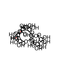 O=CC1OC(=O)c2cc(O)c(O)c(O)c2-c2cc(O)c(O)c(O)c2C(=O)OC1C1OC(=O)c2cc(O)c(O)c(O)c2-c2c(O)c(O)c3oc(=O)c4c(c(O)c(O)c5oc(=O)c2c3c54)-c2c(cc(O)c(O)c2O)C(=O)OCC1O